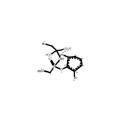 CCC(C)CC(C)(NP(=O)(COC)Oc1c(C(C)C)cccc1C(C)C)C(=O)O